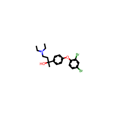 CCN(CC)CCC(C)(O)c1ccc(Oc2ccc(Br)cc2Br)cc1